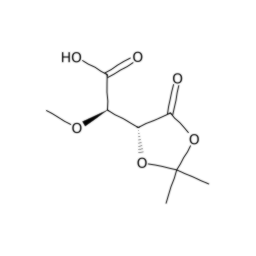 CO[C@@H](C(=O)O)[C@H]1OC(C)(C)OC1=O